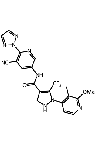 COc1nccc(N2NCC(C(=O)Nc3cnc(-n4nccn4)c(C#N)c3)=C2C(F)(F)F)c1C